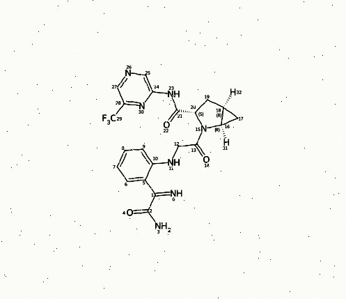 N=C(C(N)=O)c1ccccc1NCC(=O)N1[C@@H]2C[C@@H]2C[C@H]1C(=O)Nc1cncc(C(F)(F)F)n1